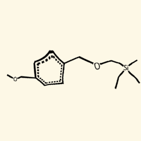 COc1ccc(COC[Si](C)(C)C)cc1